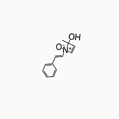 CC1(O)C=C[N+]1([O-])C=Cc1ccccc1